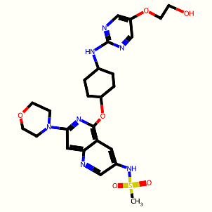 CS(=O)(=O)Nc1cnc2cc(N3CCOCC3)nc(OC3CCC(Nc4ncc(OCCO)cn4)CC3)c2c1